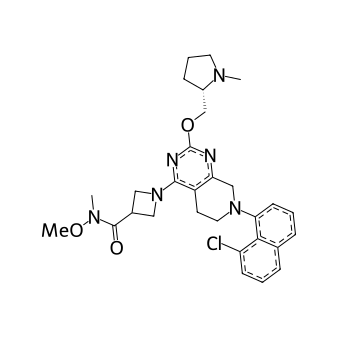 CON(C)C(=O)C1CN(c2nc(OC[C@@H]3CCCN3C)nc3c2CCN(c2cccc4cccc(Cl)c24)C3)C1